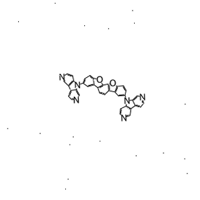 c1cc2c(cn1)c1ccncc1n2-c1ccc2oc3c(ccc4c5cc(-n6c7ccncc7c7ccncc76)ccc5oc43)c2c1